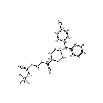 C[Si](C)(C)OC(=O)COCC(=O)N1CCN(C(c2ccccc2)c2ccc(Cl)cc2)CC1